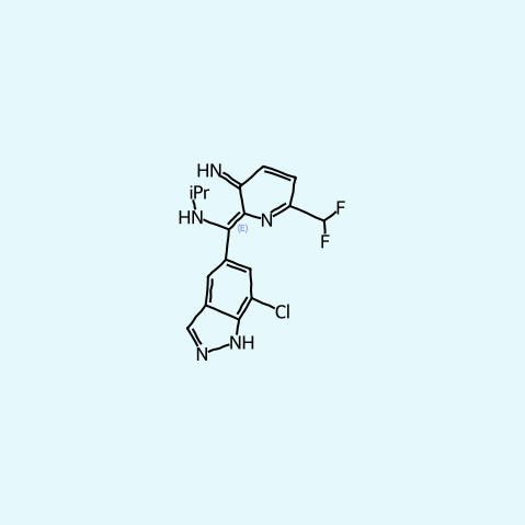 CC(C)N/C(=C1/N=C(C(F)F)C=CC1=N)c1cc(Cl)c2[nH]ncc2c1